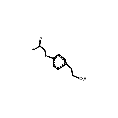 CCC(S)COc1ccc(CCC(=O)O)cc1